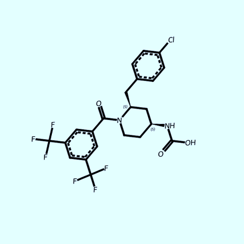 O=C(O)N[C@H]1CCN(C(=O)c2cc(C(F)(F)F)cc(C(F)(F)F)c2)[C@@H](Cc2ccc(Cl)cc2)C1